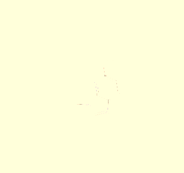 CCn1[c]nc2ccc(OC)nc21